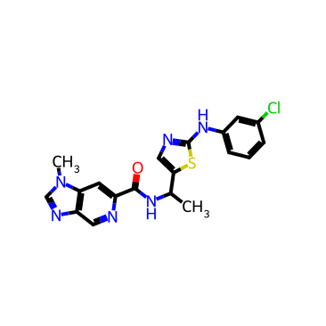 CC(NC(=O)c1cc2c(cn1)ncn2C)c1cnc(Nc2cccc(Cl)c2)s1